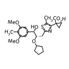 COc1cc([C@@H](O)[C@H](Cc2nc(C3(C(=O)O)CC3)c(C)s2)OC2CCCC2)cc(OC)c1C